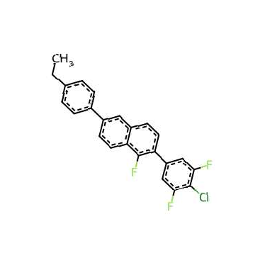 CCc1ccc(-c2ccc3c(F)c(-c4cc(F)c(Cl)c(F)c4)ccc3c2)cc1